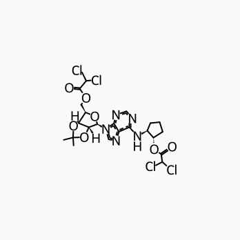 CC1(C)O[C@@H]2[C@H](O1)[C@@H](COC(=O)C(Cl)Cl)O[C@H]2n1cnc2c(N[C@H]3CCC[C@@H]3OC(=O)C(Cl)Cl)ncnc21